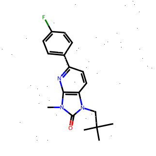 Cn1c(=O)n(CC(C)(C)C)c2ccc(-c3ccc(F)cc3)nc21